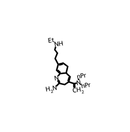 C=C(C1=CC2CC=C(CCCNCC)C=C2N=C(N)C1)N(CCC)CCC